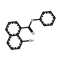 O=C(Oc1ccccc1)c1cccc2cccc(O)c12